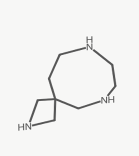 C1CNCC2(CCN1)CNC2